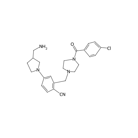 N#Cc1ccc(N2CCC(CN)C2)cc1CN1CCN(C(=O)c2ccc(Cl)cc2)CC1